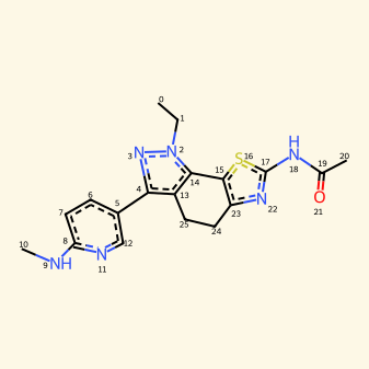 CCn1nc(-c2ccc(NC)nc2)c2c1-c1sc(NC(C)=O)nc1CC2